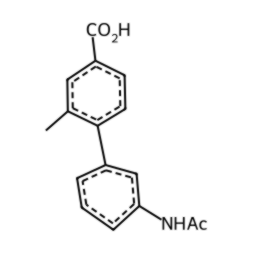 CC(=O)Nc1cccc(-c2ccc(C(=O)O)cc2C)c1